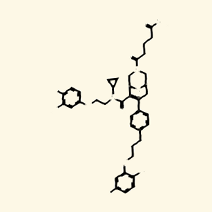 Cc1ccc(OCCN(C(=O)C2=C(c3ccc(CCCOc4cc(F)ccc4Br)cc3)CC3CN(C(=O)CCCC(N)=O)CC2N3)C2CC2)cc1C